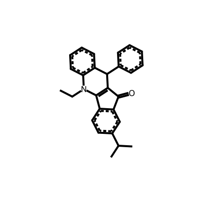 CCN1C2=C(C(=O)c3cc(C(C)C)ccc32)C(c2ccccc2)c2ccccc21